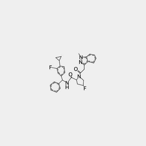 Cn1nc(CC(=O)N2CC(F)CC2C(=O)NC(c2ccccc2)c2ccc(C3CC3)c(F)c2)c2ccccc21